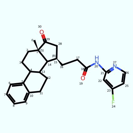 C[C@]12CCC3c4ccccc4CCC3C1[C@H](CCC(=O)Nc1cc(F)ccn1)CC2=O